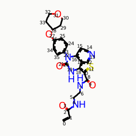 C=CC(=O)NCCNC(=O)c1sc2nccc3c2c1NC(=O)N3c1ccc(OC2CCOCC2)cc1